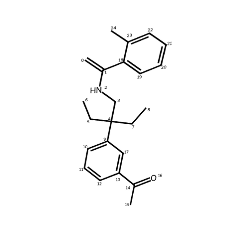 C=C(NCC(CC)(CC)c1cccc(C(C)=O)c1)c1ccccc1C